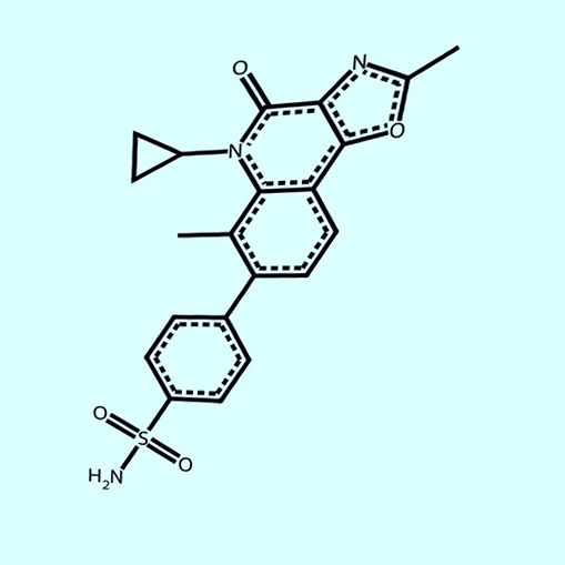 Cc1nc2c(=O)n(C3CC3)c3c(C)c(-c4ccc(S(N)(=O)=O)cc4)ccc3c2o1